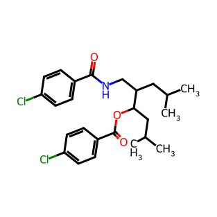 CC(C)CC(CNC(=O)c1ccc(Cl)cc1)C(CC(C)C)OC(=O)c1ccc(Cl)cc1